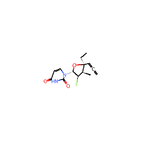 C=C=C[C@]1(CC)O[C@@H](n2ccc(=O)[nH]c2=O)[C@H](F)[C@@H]1C